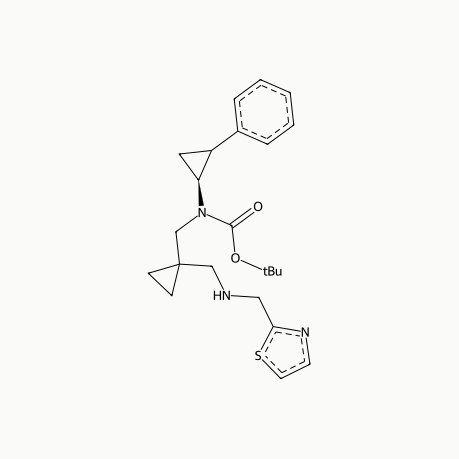 CC(C)(C)OC(=O)N(CC1(CNCc2nccs2)CC1)[C@H]1CC1c1ccccc1